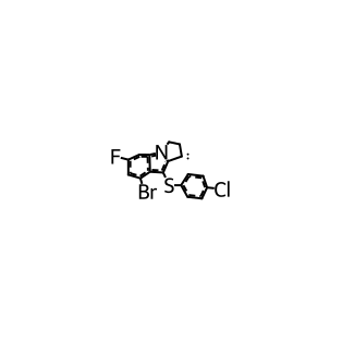 Fc1cc(Br)c2c(Sc3ccc(Cl)cc3)c3n(c2c1)CC[C]3